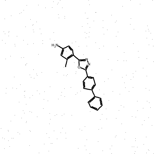 Cc1cc(N)ccc1-c1nnc(-c2ccc(-c3ccccc3)cc2)o1